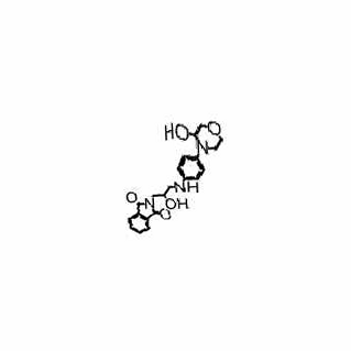 O=C1c2ccccc2C(=O)N1C[C@H](O)CNc1ccc(N2CCOCC2O)cc1